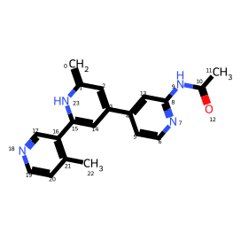 C=C1C=C(c2ccnc(NC(C)=O)c2)C=C(c2cnccc2C)N1